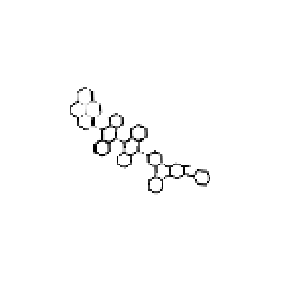 C1=CC2=CC=C3C=CC(c4c5ccccc5c(-c5c6ccccc6c(-c6ccc7c(c6)c6ccccc6c6cc8c(cc76)oc6ccccc68)c6ccccc56)c5ccccc45)=C4C=CC(=C1)C2C34